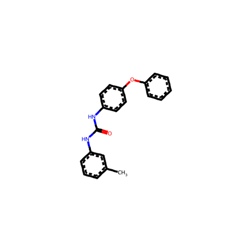 Cc1cccc(NC(=O)Nc2ccc(Oc3ccccc3)cc2)c1